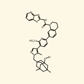 CCOC12CC3(C)CC(C)(CC(Cn4ncc(-c5ccc(-c6ccc7c(c6)N(C(=O)Nc6nc8ncccc8s6)CCC7)nc5C(=O)O)c4C)(C3)C1)C2